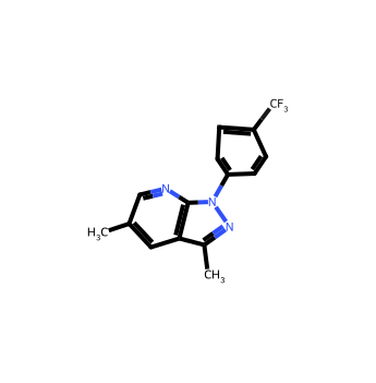 Cc1cnc2c(c1)c(C)nn2-c1ccc(C(F)(F)F)cc1